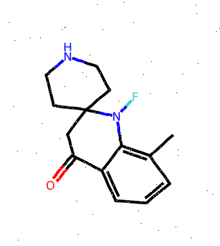 Cc1cccc2c1N(F)C1(CCNCC1)CC2=O